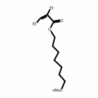 CCC=C(CC)C(=O)OCCCCCCCCCCCCCCCC